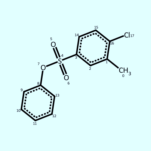 Cc1cc(S(=O)(=O)Oc2ccccc2)ccc1Cl